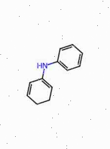 C1=CC(Nc2ccccc2)=CCC1